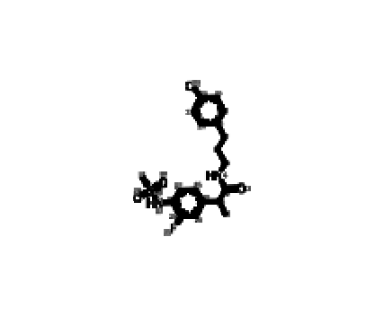 CC(C(=O)NCCCc1ccc(Cl)cc1)c1ccc(NS(C)(=O)=O)c(F)c1